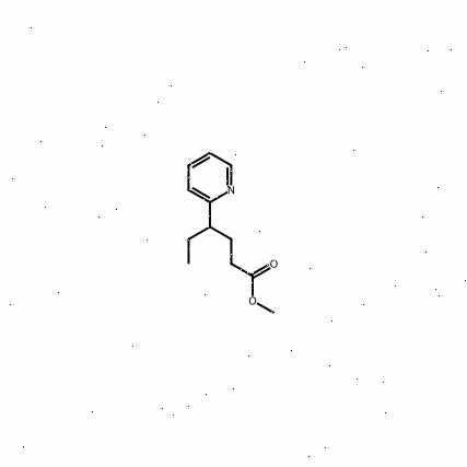 CCC(CCC(=O)OC)c1ccccn1